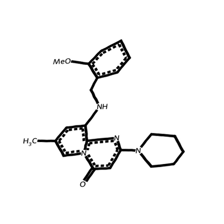 COc1ccccc1CNc1cc(C)cn2c(=O)cc(N3CCCCC3)nc12